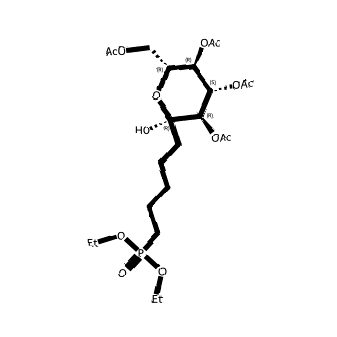 CCOP(=O)(CCCCC[C@@]1(O)O[C@H](COC(C)=O)[C@@H](OC(C)=O)[C@H](OC(C)=O)[C@H]1OC(C)=O)OCC